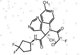 Cc1ccc(N(C(=O)[C@H](F)Cl)[C@@](C)(C(=O)N[C@H]2CCC(F)(F)C2)c2cncnc2)cn1